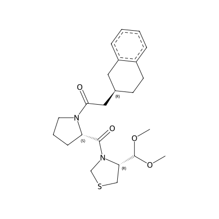 COC(OC)[C@@H]1CSCN1C(=O)[C@@H]1CCCN1C(=O)C[C@@H]1CCc2ccccc2C1